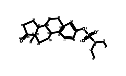 CCN(CC)S(=O)(=O)Oc1ccc2c(c1)CCC1C2CC[C@]2(C)C(=O)CCC12